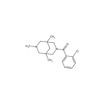 CN1CC2(C)CN(C(=O)c3ccccc3Cl)CC(C)(C1)C2